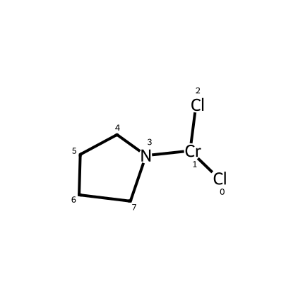 [Cl][Cr]([Cl])[N]1CCCC1